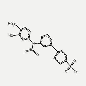 CCS(=O)(=O)c1ccc(-c2cccc(N(c3ccc(C(=O)O)c(O)c3)[SH](=O)=O)c2)cc1